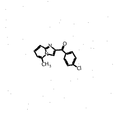 Cc1cccc2nc(C(=O)c3ccc(Cl)cc3)cn12